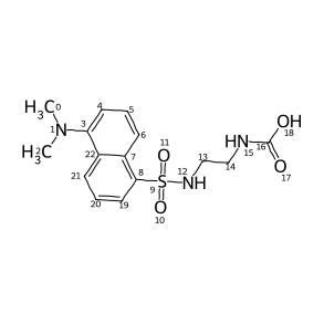 CN(C)c1cccc2c(S(=O)(=O)NCCNC(=O)O)cccc12